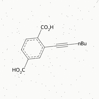 CCCCC#Cc1cc(C(=O)O)ccc1C(=O)O